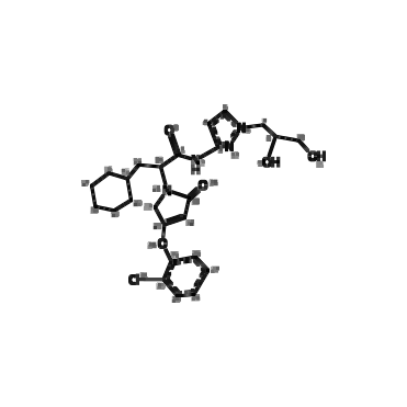 O=C(Nc1ccn(CC(O)CO)n1)C(CC1CCCCC1)N1CC(Oc2ccccc2Cl)=CC1=O